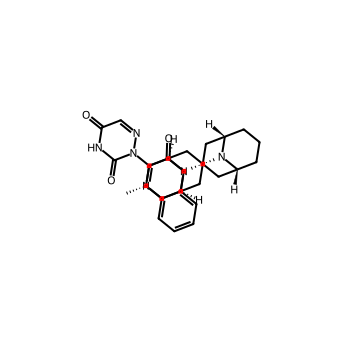 C[C@@H]1C[C@@H]2C[C@H](C1)C[C@@H](N1[C@@H]3CCC[C@H]1C[C@@H](n1c(=O)c(-n4ncc(=O)[nH]c4=O)nc4ccccc41)C3)C2